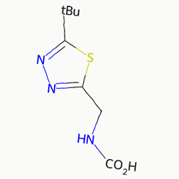 CC(C)(C)c1nnc(CNC(=O)O)s1